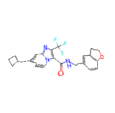 O=C(NCc1ccc2c(c1)CCO2)c1c(C(F)(F)F)nc2cc(C3CCC3)ccn12